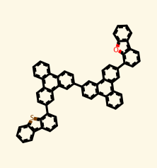 c1ccc2c(c1)oc1c(-c3ccc4c5cc(-c6ccc7c8ccccc8c8ccc(-c9cccc%10c9sc9ccccc9%10)cc8c7c6)ccc5c5ccccc5c4c3)cccc12